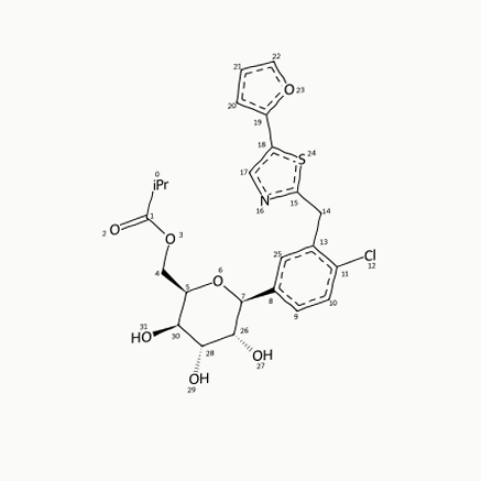 CC(C)C(=O)OC[C@H]1O[C@@H](c2ccc(Cl)c(Cc3ncc(-c4ccco4)s3)c2)[C@H](O)[C@H](O)[C@H]1O